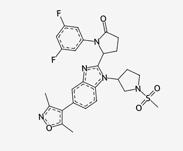 Cc1noc(C)c1-c1ccc2c(c1)nc(C1CCC(=O)N1c1cc(F)cc(F)c1)n2C1CCN(S(C)(=O)=O)C1